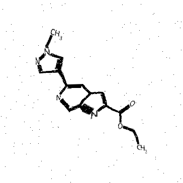 CCOC(=O)C1=CC2C=C(c3cnn(C)c3)N=CC2=N1